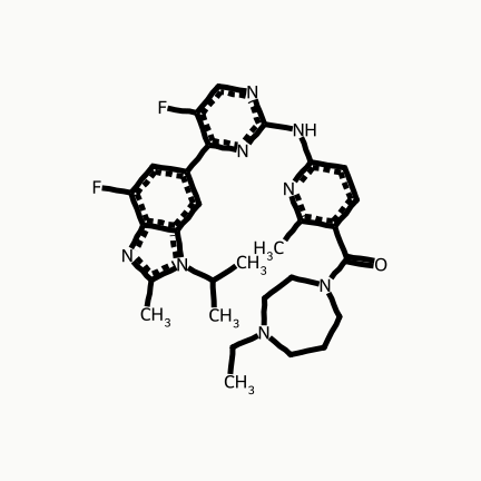 CCN1CCCN(C(=O)c2ccc(Nc3ncc(F)c(-c4cc(F)c5nc(C)n(C(C)C)c5c4)n3)nc2C)CC1